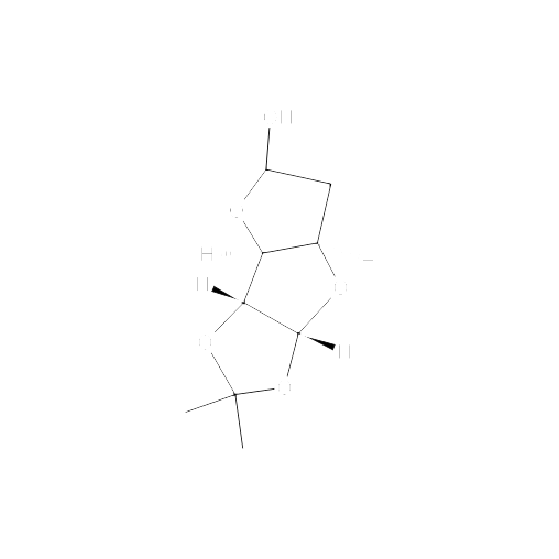 CC1(C)O[C@H]2O[C@@H]3CC(O)O[C@@H]3[C@H]2O1